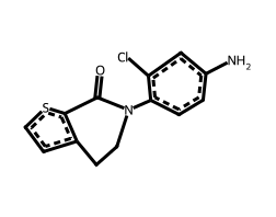 Nc1ccc(N2CCc3ccsc3C2=O)c(Cl)c1